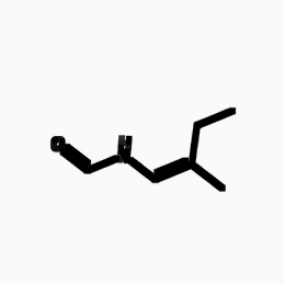 CC/C(C)=C\NC=O